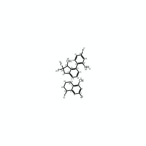 N#Cc1cc(F)cc2c1[C@@H](c1ccc(-c3ccc(F)cc3N)c3c1CC(F)(F)C3O)CCC2F